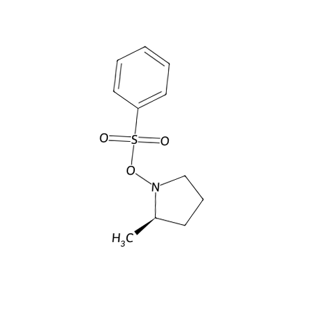 C[C@@H]1CCCN1OS(=O)(=O)c1ccccc1